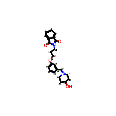 O=C1c2ccccc2C(=O)N1CCCOc1cccc(CN2CCC(O)CC2)c1